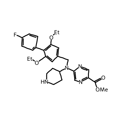 CCOc1cc(CN(c2cnc(C(=O)OC)cn2)C2CCNCC2)cc(OCC)c1-c1ccc(F)cc1